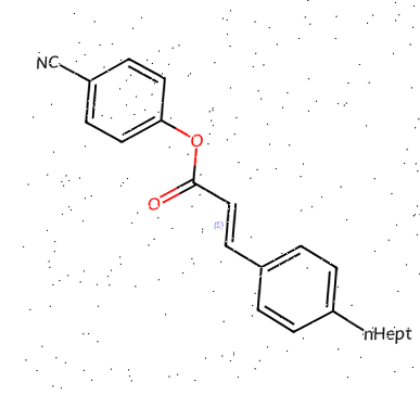 CCCCCCCc1ccc(/C=C/C(=O)Oc2ccc(C#N)cc2)cc1